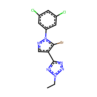 CCn1nnc(-c2cnn(-c3cc(Cl)cc(Cl)c3)c2Br)n1